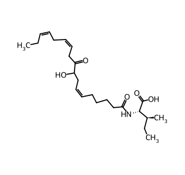 CC/C=C\C/C=C\CC(=O)C(O)C/C=C\CCCCC(=O)N[C@H](C(=O)O)[C@@H](C)CC